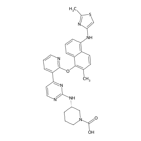 Cc1nc(Nc2cccc3c(Oc4ncccc4-c4ccnc(N[C@H]5CCCN(C(=O)O)C5)n4)c(C)ccc23)cs1